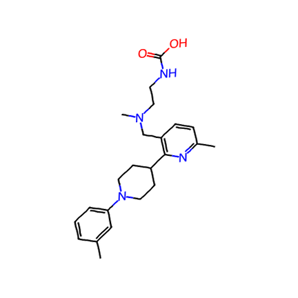 Cc1cccc(N2CCC(c3nc(C)ccc3CN(C)CCNC(=O)O)CC2)c1